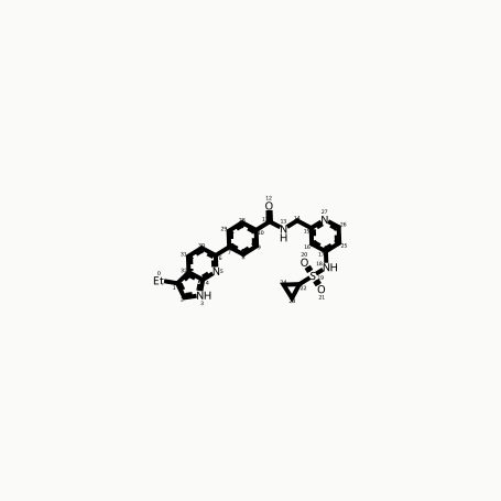 CCc1c[nH]c2nc(-c3ccc(C(=O)NCc4cc(NS(=O)(=O)C5CC5)ccn4)cc3)ccc12